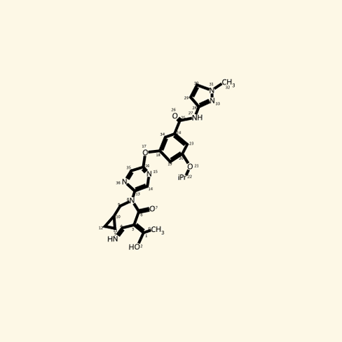 C/C(O)=C(/C=N)C(=O)N(CC1CC1)c1cnc(Oc2cc(OC(C)C)cc(C(=O)Nc3ccn(C)n3)c2)cn1